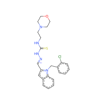 S=C(NCCN1CCOCC1)N/N=C/c1cc2ccccc2n1Cc1ccccc1Cl